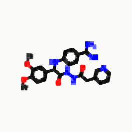 CCOc1cc(C(Nc2ccc(C(=N)N)cc2)C(=O)NNC(=O)Cc2cccnc2)ccc1OC(C)C